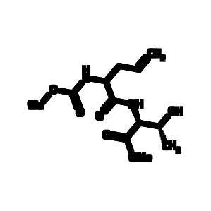 C=CCC(NC(=O)OC(C)(C)C)C(=O)N[C@H](C(=O)OC)[C@@H](C)O